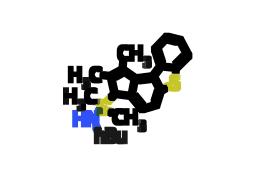 CCCCNS(C)(C)C1C(C)=C(C)c2c1ccc1sc3ccccc3c21